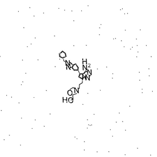 Nc1ncnn2c(CCCN3CCOC(CO)C3)cc(-c3ccc4cn(Cc5ccccc5)nc4c3)c12